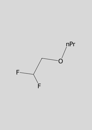 C[CH]COCC(F)F